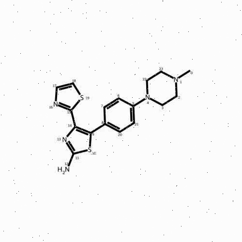 CN1CCN(c2ccc(-c3sc(N)nc3-c3nccs3)cc2)CC1